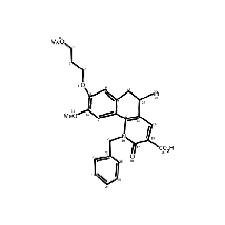 COCCCOc1cc2c(cc1OC)-c1c(cc(C(=O)O)c(=O)n1Cc1ccccc1)C(C(C)C)C2